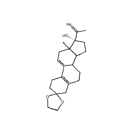 CC(=N)[C@@]1(O)CCC2C3CCC4=C(CCC5(C4)OCCO5)C3=CCC21C